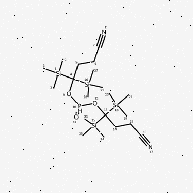 C[Si](C)(C)C(CCC#N)(O[PH](=O)OC(CCC#N)([Si](C)(C)C)[Si](C)(C)C)[Si](C)(C)C